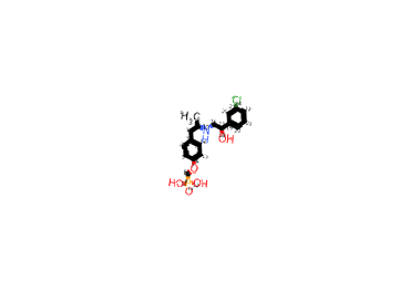 CC(Cc1ccc(OCP(=O)(O)O)cc1)NCC(O)c1cccc(Cl)c1